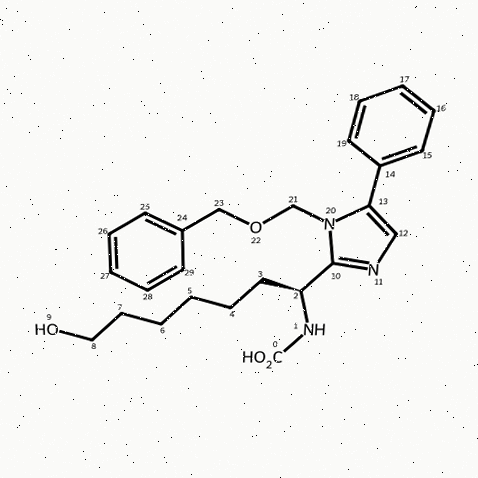 O=C(O)N[C@@H](CCCCCCO)c1ncc(-c2ccccc2)n1COCc1ccccc1